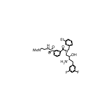 CCc1cccc(CN(C[C@@H](O)[C@@H](N)Cc2cc(F)cc(F)c2)C(=O)c2cccc(S(=O)(=O)NCCNC)c2)c1